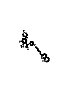 COc1c(F)cc(C2(C)CCN(C)CC2)cc1[C@@H](C(=O)O)N1CC[C@@H](OCCCCCc2ccc3c(n2)NCCC3)C1